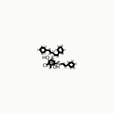 CC1C(Cl)=CC=CC1(C)O.O=C(O)C(=Cc1ccccc1)CC=Cc1ccccc1.O=C(O)CC=Cc1ccccc1